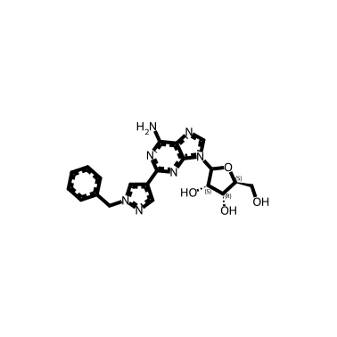 Nc1nc(-c2cnn(Cc3ccccc3)c2)nc2c1ncn2C1O[C@@H](CO)[C@H](O)[C@@H]1O